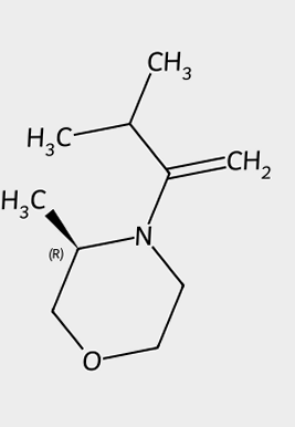 C=C(C(C)C)N1CCOC[C@H]1C